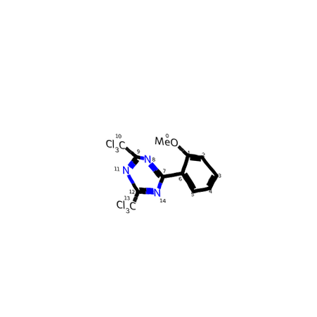 COc1ccccc1-c1nc(C(Cl)(Cl)Cl)nc(C(Cl)(Cl)Cl)n1